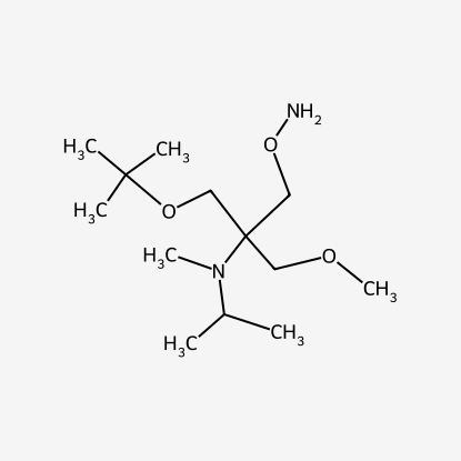 COCC(CON)(COC(C)(C)C)N(C)C(C)C